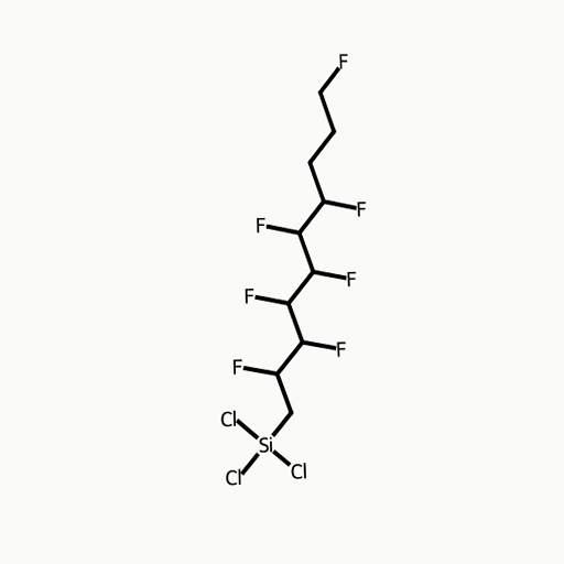 FCCCC(F)C(F)C(F)C(F)C(F)C(F)C[Si](Cl)(Cl)Cl